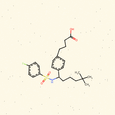 CC(C)(C)CCCC(NS(=O)(=O)c1ccc(F)cc1)c1ccc(CCCC(=O)O)cc1